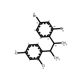 C[C](c1ccc(Cl)cc1Cl)C(C)c1ccc(Br)cc1Br